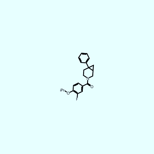 CC(C)Oc1ccc(C(=O)N2CCC3(c4ccccc4)CC3C2)cc1F